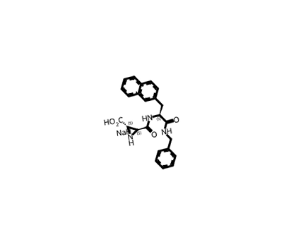 O=C(NCc1ccccc1)[C@H](Cc1ccc2ccccc2c1)NC(=O)[C@H]1N[C@@H]1C(=O)O.[NaH]